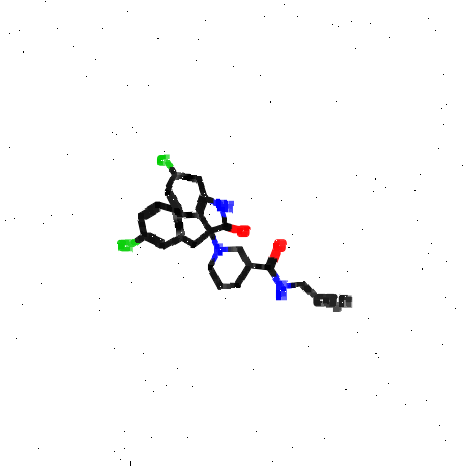 CCOC(=O)CNC(=O)C1CCCN(C2(Cc3cccc(Cl)c3)C(=O)Nc3cc(Cl)ccc32)C1